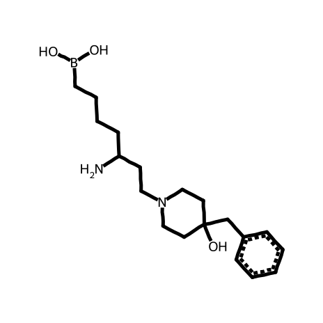 NC(CCCCB(O)O)CCN1CCC(O)(Cc2ccccc2)CC1